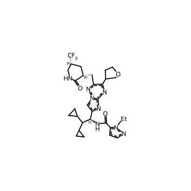 CCn1nccc1C(=O)N[C@H](c1cn2nc(C[C@H]3C[C@@H](C(F)(F)F)CNC3=O)c(C3CCOC3)nc2n1)C(C1CC1)C1CC1